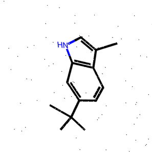 Cc1c[nH]c2cc(C(C)(C)C)ccc12